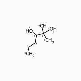 [CH2]CCC(O)C(C)(C)O